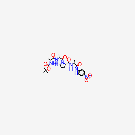 C[C@H](NC(=O)OC(C)(C)C)C(=O)N[C@@H](C)C(=O)N1CCC[C@H]1C(=O)N[C@@H](C)C(=O)Nc1ccc([N+](=O)[O-])cc1